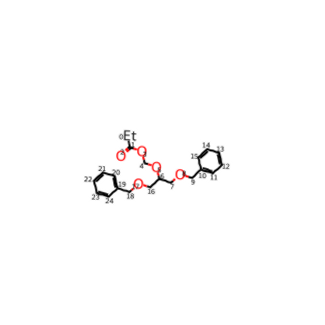 CCC(=O)OCOC(COCc1ccccc1)COCc1ccccc1